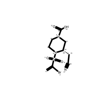 C=C(Br)S(=O)(=O)N1CCN(C(=O)O)C[C@@H]1CC#N